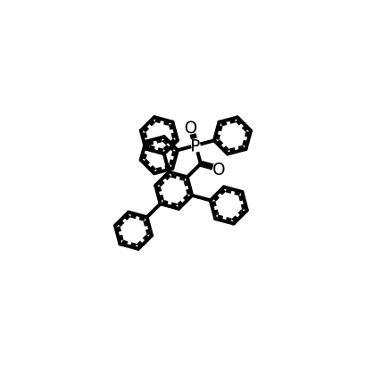 O=C(c1c(-c2ccccc2)cc(-c2ccccc2)cc1-c1ccccc1)P(=O)(c1ccccc1)c1ccccc1